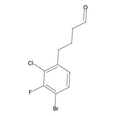 O=CCCCc1ccc(Br)c(F)c1Cl